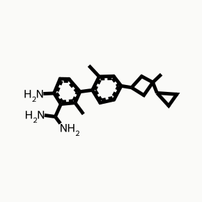 Cc1cc(C2CC(C)(C3CC3)C2)ccc1-c1ccc(N)c(C(N)N)c1C